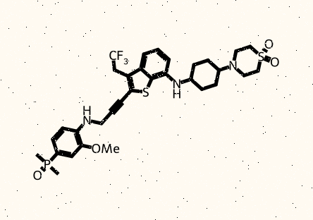 COc1cc(P(C)(C)=O)ccc1NCC#Cc1sc2c(NC3CCC(N4CCS(=O)(=O)CC4)CC3)cccc2c1CC(F)(F)F